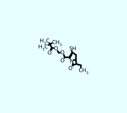 CCC1C(=O)N2C(C(=O)OCOC(=O)C(C)(C)C)=C(S)CC12